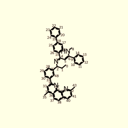 CCC(/N=C(\C=C(/NC)c1ccccc1)c1ccc(-c2ccccc2)cc1)c1cccc(-c2cc(C)c3ccc4ccc(C)nc4c3n2)c1